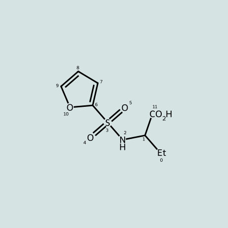 CCC(NS(=O)(=O)c1ccco1)C(=O)O